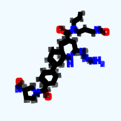 CCCN(CCCN=O)C(=O)C1=CC2=CC=C(C3=CC=C(C(=O)N4CC[C@@H](N=O)C4)CC3)CC2NC(N=NN)C1